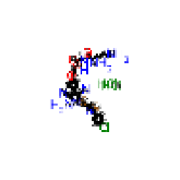 C[C@H](NC(=O)[C@@H](N)CCCCN)C(=O)OCCOc1ccc(-c2c(C#N)c(N)nc(SCc3csc(-c4ccc(Cl)cc4)n3)c2C#N)cc1.Cl.Cl